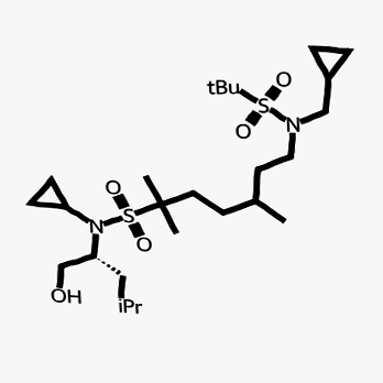 CC(C)C[C@H](CO)N(C1CC1)S(=O)(=O)C(C)(C)CCC(C)CCN(CC1CC1)S(=O)(=O)C(C)(C)C